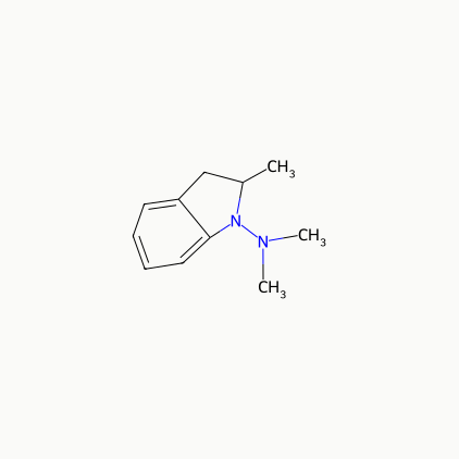 CC1Cc2ccccc2N1N(C)C